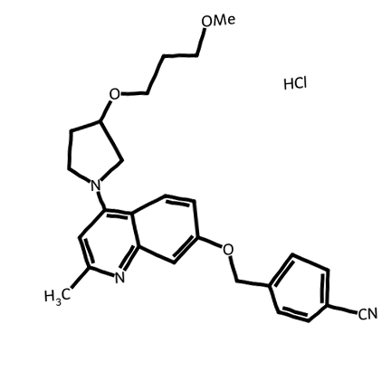 COCCCOC1CCN(c2cc(C)nc3cc(OCc4ccc(C#N)cc4)ccc23)C1.Cl